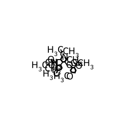 COC(=O)c1ccc(OC)cc1OCc1c(C)nc(CC(C)C)c(CNC(=O)OC(C)(C)C)c1-c1ccc(C)cc1